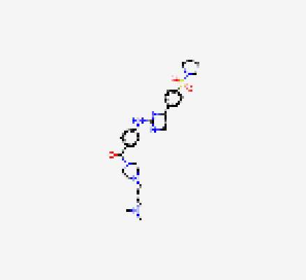 CN(C)CCCN1CCN(C(=O)c2ccc(Nc3nccc(-c4ccc(S(=O)(=O)N5CCCC5)cc4)n3)cc2)CC1